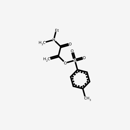 C=C(OS(=O)(=O)c1ccc(C)cc1)C(=O)N(C)CC